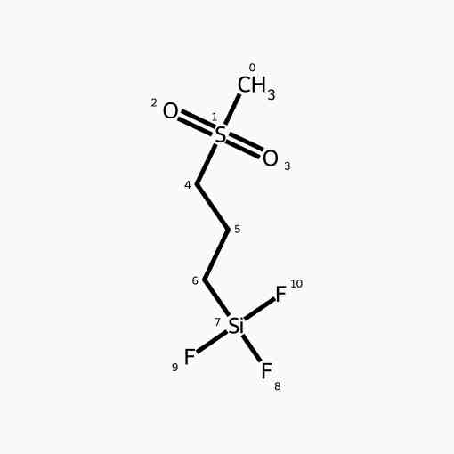 CS(=O)(=O)CCC[Si](F)(F)F